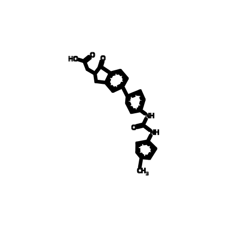 Cc1ccc(NC(=O)Nc2ccc(-c3ccc4c(c3)CC(CC(=O)O)C4=O)cc2)cc1